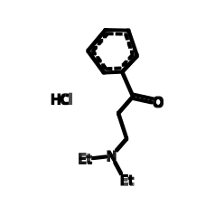 CCN(CC)CCC(=O)c1ccccc1.Cl